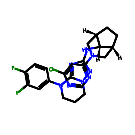 Fc1ccc(N2CCCn3nc(N[C@H]4[C@@H]5CC[C@H]4CN(c4cc(Cl)ncn4)C5)nc32)cc1F